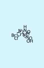 O=C1Nc2cnc3cc(Br)c(Cl)cc3c2N2CCN(C(=O)O)C[C@H]12